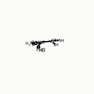 Cl.Cl.NS(=O)(=O)c1ccc(-n2nc(COCCCCCCCN(CCS)CCNCCS)cc2-c2ccc(F)cc2)cc1